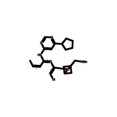 C\C=C/C(=N\C(=C\CC)N1CC2(CNC)CC1C2)Nc1cc(C2CCCC2)ncn1